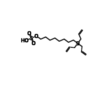 C=CC[Si](CC=C)(CC=C)CCCCCCCCOS(=O)(=O)O